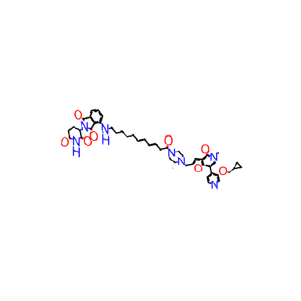 C[C@@H]1CN(C(=O)CCCCCCCCCCNc2cccc3c2C(=O)N(C2CCC(=O)NC2=O)C3=O)CCN1Cc1cc2c(=O)n(C)cc(-c3ccncc3OCC3CC3)c2o1